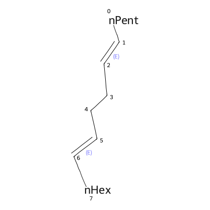 [CH2]CCCC/C=C/CC/C=C/CCCCCC